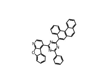 c1ccc(-c2nc(-c3cc4ccc5ccccc5c4c4ccccc34)nc(-c3ccnc4oc5ccccc5c34)n2)cc1